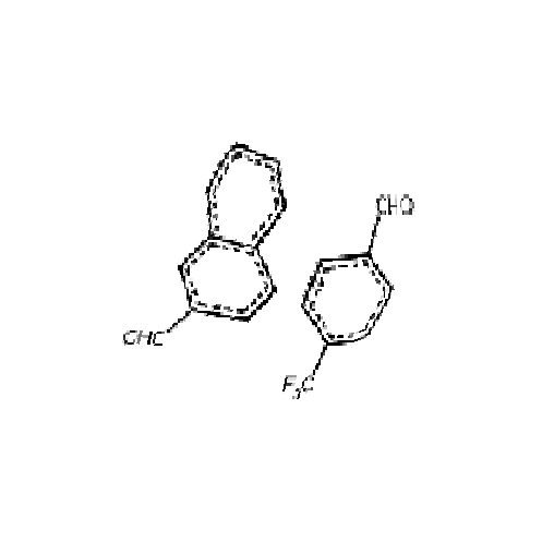 O=Cc1ccc(C(F)(F)F)cc1.O=Cc1ccc2ccccc2c1